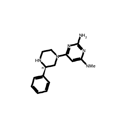 CNc1cc(N2CCN[C@H](c3ccccc3)C2)nc(N)n1